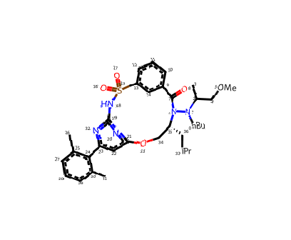 CCCCN(C(C)COC)N1C(=O)c2cccc(c2)S(=O)(=O)Nc2nc(cc(-c3c(C)cccc3C)n2)OC[C@H]1CC(C)C